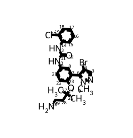 Cn1ncc(Br)c1-c1cc(NC(=O)Nc2ccccc2Cl)ccc1OC(C)(C)CCN